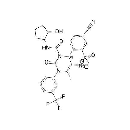 [C-]#[N+]C1=C(C)N(c2cccc(C(F)(F)F)c2)C(=O)N(C(=O)NC2CCCC2O)[C@@H]1c1ccc(C#N)cc1S(C)(=O)=O